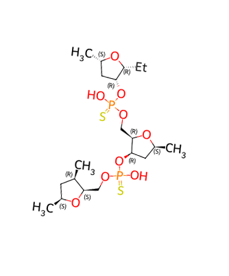 CC[C@H]1O[C@@H](C)C[C@H]1OP(O)(=S)OC[C@H]1O[C@@H](C)C[C@H]1OP(O)(=S)OC[C@H]1O[C@@H](C)C[C@H]1C